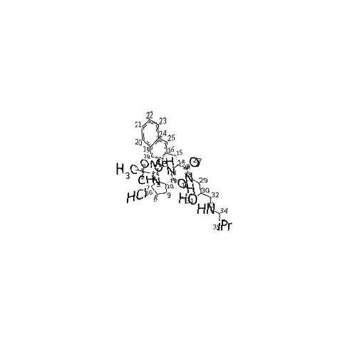 COC(C)(C)C(=O)N1CCC[C@H]1C(=O)N[C@H](Cc1ccc2ccccc2c1)C(=O)NCC(O)CNCC(C)C.Cl